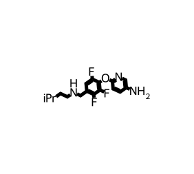 CC(C)CCNCc1cc(F)c(Oc2ccc(N)cn2)c(F)c1F